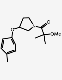 COC(C)(C)C(=O)N1CCC(Oc2ccc(C)cc2)C1